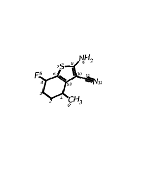 CC1CCC(F)c2sc(N)c(C#N)c21